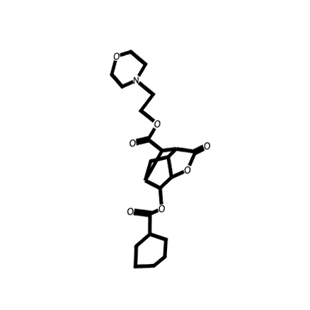 O=C(OC1C2CC3C1OC(=O)C3C2C(=O)OCCN1CCOCC1)C1CCCCC1